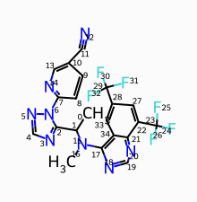 CC(c1ncnn1-c1ccc(C#N)cn1)N(C)c1ncnc2c(C(F)(F)F)cc(C(F)(F)F)cc12